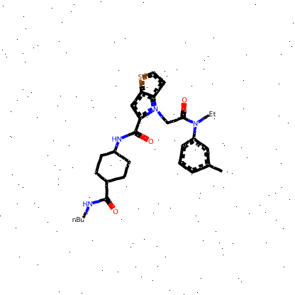 CCCCNC(=O)C1CCC(NC(=O)c2cc3sccc3n2CC(=O)N(CC)c2cccc(C)c2)CC1